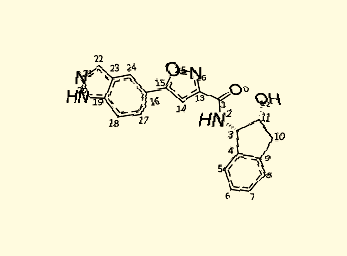 O=C(N[C@H]1c2ccccc2C[C@H]1O)c1cc(-c2ccc3[nH]ncc3c2)on1